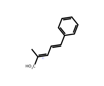 C/C(=C\C=Cc1ccccc1)C(=O)O